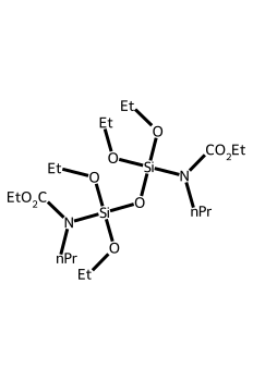 CCCN(C(=O)OCC)[Si](OCC)(OCC)O[Si](OCC)(OCC)N(CCC)C(=O)OCC